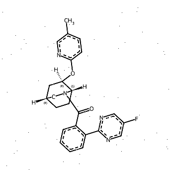 Cc1ccc(O[C@@H]2C[C@H]3CC[C@@H]2N(C(=O)c2ccccc2-c2ncc(F)cn2)C3)nc1